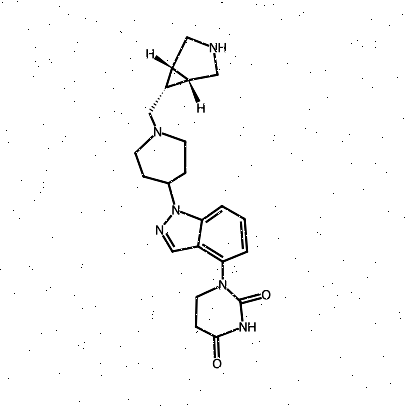 O=C1CCN(c2cccc3c2cnn3C2CCN(C[C@@H]3[C@@H]4CNC[C@@H]43)CC2)C(=O)N1